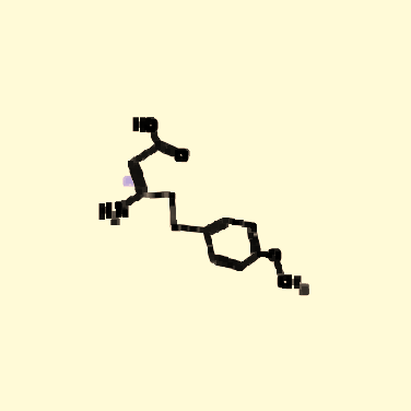 COc1ccc(CC/C(N)=C\C(=O)O)cc1